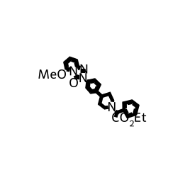 CCOC(=O)C(c1ccccc1)N1CCC(c2ccc(-n3nc4cccc(OC)n4c3=O)cc2)CC1